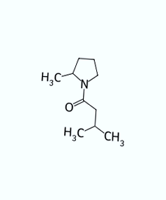 CC(C)CC(=O)N1CCCC1C